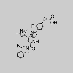 Cc1cc(C2=CC(C(=O)N3C[C@H](F)c4ccccc4[C@H]3C)Nc3cc(-c4ccc([C@H]5C[C@@H]5C(=O)O)cc4F)nn32)n(C)n1